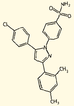 Cc1ccc(-c2cc(-c3ccc(Cl)cc3)n(-c3ccc(S(N)(=O)=O)cc3)n2)c(C)c1